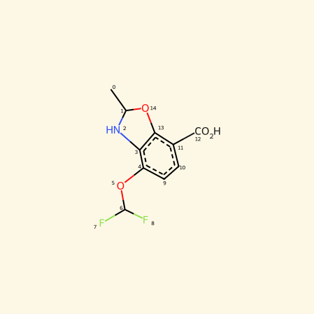 CC1Nc2c(OC(F)F)ccc(C(=O)O)c2O1